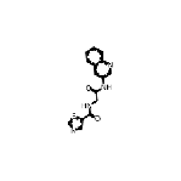 O=C(CNC(=O)c1cncs1)Nc1cnc2ccccc2c1